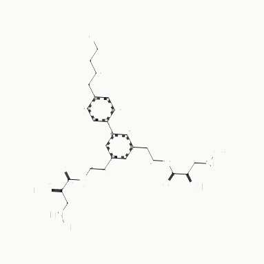 C=C(CNC)C(=O)OCCc1cc(CCOC(=O)C(=C)CNC)cc(-c2ccc(CCCCC)cc2)c1